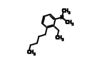 CCCCCc1cccc(N(C)C)c1CC